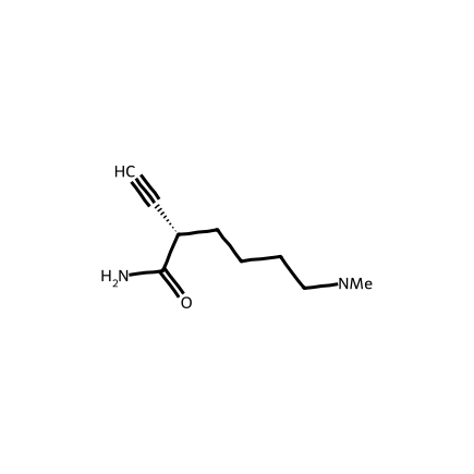 C#C[C@H](CCCCNC)C(N)=O